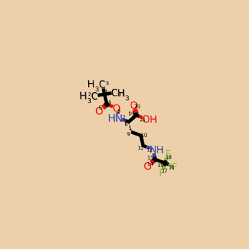 CC(C)(C)C(=O)ON[C@@H](CCCNC(=O)C(F)(F)F)C(=O)O